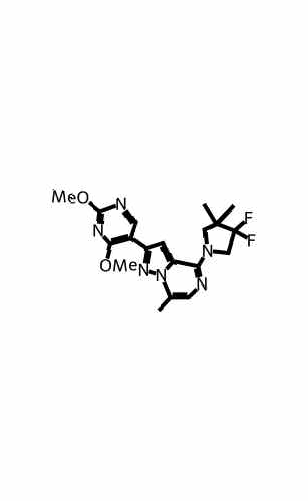 COc1ncc(-c2cc3c(N4CC(C)(C)C(F)(F)C4)ncc(C)n3n2)c(OC)n1